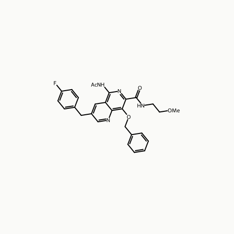 COCCNC(=O)c1nc(NC(C)=O)c2cc(Cc3ccc(F)cc3)cnc2c1OCc1ccccc1